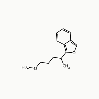 COCCCC(C)c1occ2ccccc12